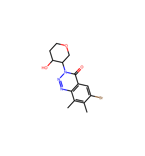 Cc1c(Br)cc2c(=O)n(C3COCCC3O)nnc2c1C